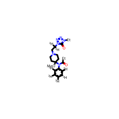 [2H]c1c([2H])c([2H])c(N(C(=O)CC)C2(OC)CCN(CC([2H])([2H])n3nnn(CC)c3=O)CC2)c([2H])c1[2H]